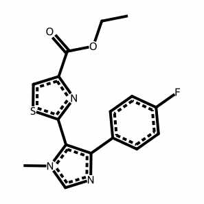 CCOC(=O)c1csc(-c2c(-c3ccc(F)cc3)ncn2C)n1